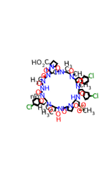 CCCN1C(=O)NC(=O)N(C)C(=O)NC(C(=O)N2CCC[C@H]2C(=O)O)CC(=O)NC(C)C(=O)N(C)C(Cc2cccc(Cl)c2)C(=O)N(C)C(Cc2cccc(Cl)c2)C(=O)N[C@@H](CCS(C)(=O)=O)C(=O)N2CCCC2C(=O)NC([C@@H](C)O)C(=O)N(C)[C@@H](Cc2cccc(Cl)c2)C1=O